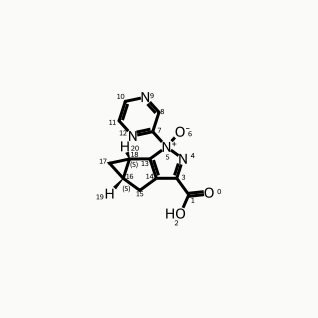 O=C(O)C1=N[N+]([O-])(c2cnccn2)C2=C1C[C@@H]1C[C@H]21